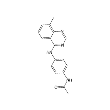 CC(=O)Nc1ccc(Nc2ncnc3c(C)cccc23)cc1